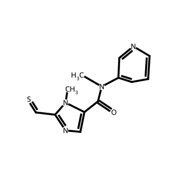 CN(C(=O)c1cnc(C=S)n1C)c1cccnc1